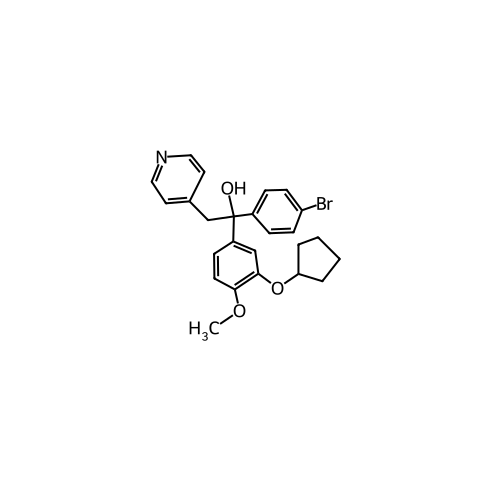 COc1ccc(C(O)(Cc2ccncc2)c2ccc(Br)cc2)cc1OC1CCCC1